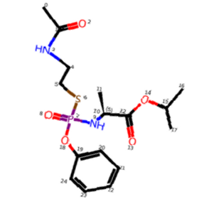 CC(=O)NCCSP(=O)(N[C@@H](C)C(=O)OC(C)C)Oc1ccccc1